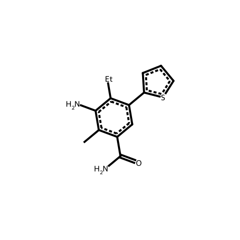 CCc1c(-c2cccs2)cc(C(N)=O)c(C)c1N